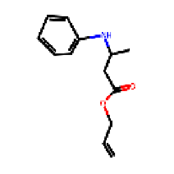 C=CCOC(=O)CC(C)Nc1ccccc1